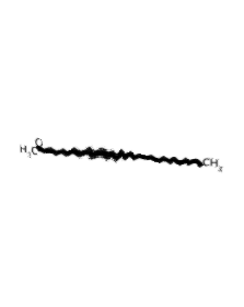 CCCCCCCCCCCCCCCCCCCCCCCCCCCCCCC(C)=O